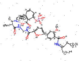 CCCCCC(C(=O)NCNC(=O)c1ccc(-c2ccc(C(=O)NC(CC(=O)O)C(=O)O)c(OCC)c2)o1)C(CC)N(C=O)OC(=O)c1c(C)cccc1OP(=O)(O)O